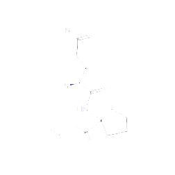 CCOC(=O)C1(NC(=O)[C@@H](N)CCC(N)=O)CCCC1